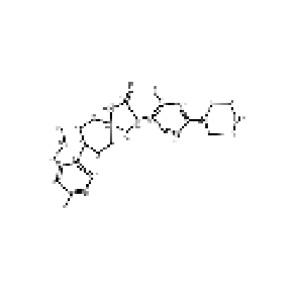 Cc1nc(N2CCOCC2)ncc1N1C[C@]2(CC[C@@](c3ccc(F)cc3)(N(C)C)CC2)NC1=O